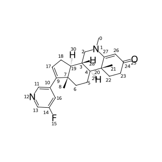 CN1C[C@@H]2[C@H](CC[C@]3(C)C(c4cncc(F)c4)=CC[C@@H]23)[C@@]2(C)CCC(=O)C=C12